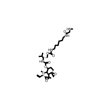 C=CC[C@H]1OC1(C)C1C(OC)C(OC(=O)N[C@@H](COC(=O)NCCCCCCNC(=O)CNC)C(C)C)CC[C@]12CO2